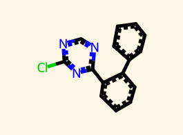 Clc1ncnc(-c2ccccc2-c2ccccc2)n1